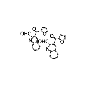 O=Cc1nc2ccccc2cc1C(=O)c1ccco1.O=Cc1nc2ccccc2cc1C(=O)c1ccco1